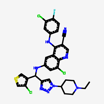 CCN1CCC(n2cc(C(Nc3cc(Cl)c4ncc(C#N)c(Nc5ccc(F)c(Cl)c5)c4c3)c3cscc3Cl)nn2)CC1